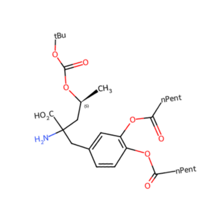 CCCCCC(=O)Oc1ccc(CC(N)(C[C@H](C)OC(=O)OC(C)(C)C)C(=O)O)cc1OC(=O)CCCCC